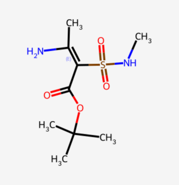 CNS(=O)(=O)/C(C(=O)OC(C)(C)C)=C(\C)N